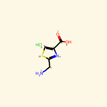 Cl.NCc1nc(C(=O)O)cs1